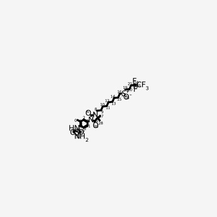 Cc1cc(N2C(=O)N(CCCCCCCCC[S+]([O-])CCCC(F)(F)C(F)(F)F)C(C)(C)C2=O)ccc1NS(N)(=O)=O